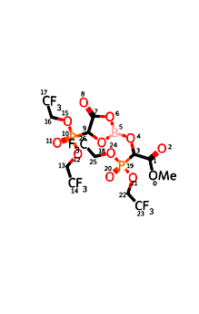 COC(=O)C(OB1OC(=O)C(P(=O)(OCC(F)(F)F)OCC(F)(F)F)O1)P(=O)(OCC(F)(F)F)OCC(F)(F)F